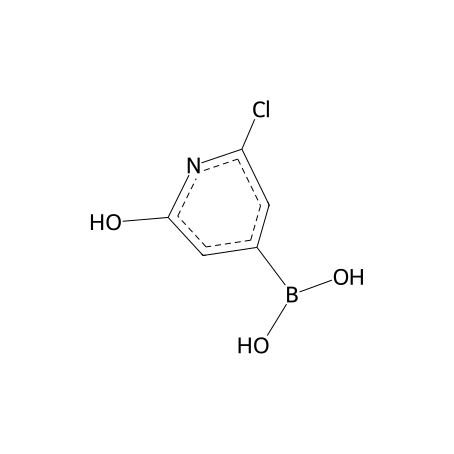 OB(O)c1cc(O)nc(Cl)c1